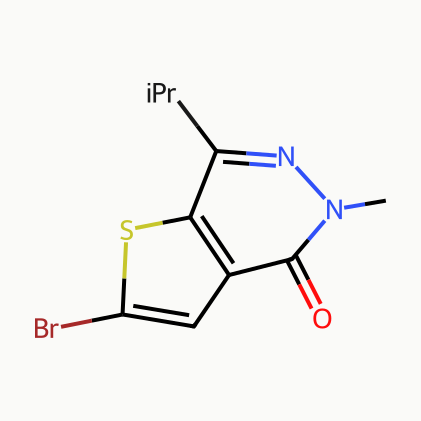 CC(C)c1nn(C)c(=O)c2cc(Br)sc12